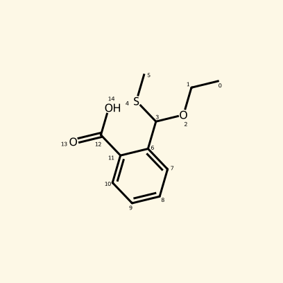 CCOC(SC)c1ccccc1C(=O)O